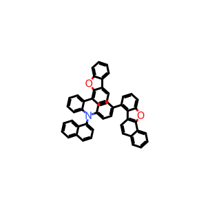 c1ccc(N(c2ccc(-c3cccc4oc5c6ccccc6ccc5c34)cc2)c2cccc3ccccc23)c(-c2cccc3c2oc2ccccc23)c1